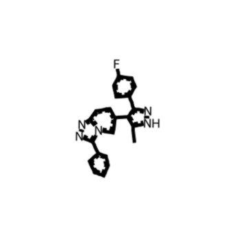 Cc1[nH]nc(-c2ccc(F)cc2)c1-c1ccc2nnc(-c3ccccc3)n2c1